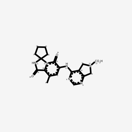 Cc1cc(Nc2ncnc3c2CN(C(=O)O)C3)c(=O)n2c1C(=O)NC21CCCC1